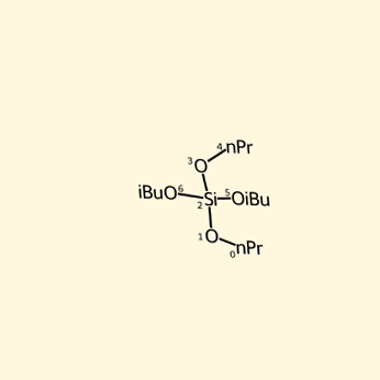 CCCO[Si](OCCC)(OCC(C)C)OCC(C)C